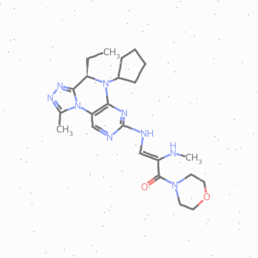 CC[C@@H]1c2nnc(C)n2-c2cnc(N/C=C(\NC)C(=O)N3CCOCC3)nc2N1C1CCCC1